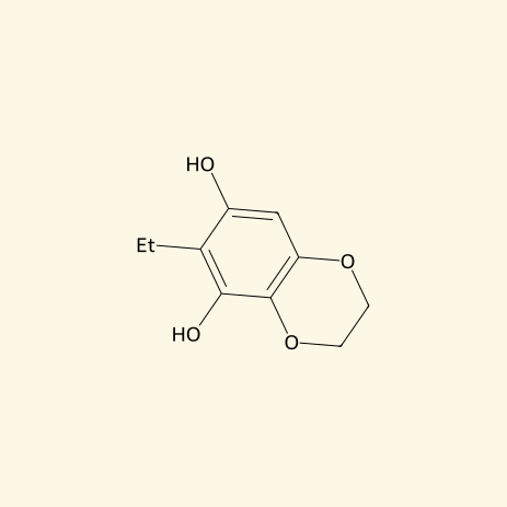 CCc1c(O)cc2c(c1O)OCCO2